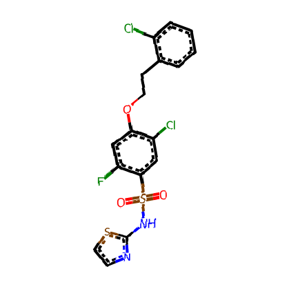 O=S(=O)(Nc1nccs1)c1cc(Cl)c(OCCc2ccccc2Cl)cc1F